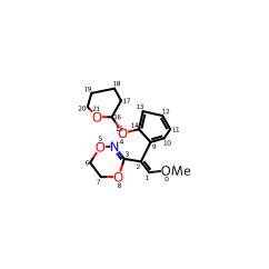 COC=C(C1=NOCCO1)c1ccccc1OC1CCCCO1